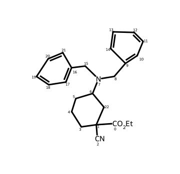 CCOC(=O)C1(C#N)CCCC(N(Cc2ccccc2)Cc2ccccc2)C1